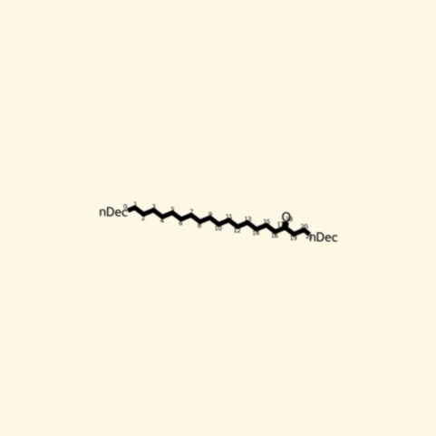 CCCCCCCCCCCCCCCCCCCCCCCCCCC(=O)CCCCCCCCCCCC